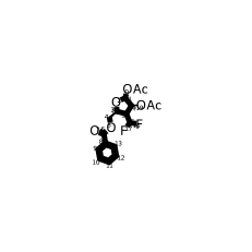 CC(=O)OC1O[C@H](COC(=O)c2ccccc2)C(C(F)F)[C@H]1OC(C)=O